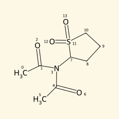 CC(=O)N(C(C)=O)C1CCCS1(=O)=O